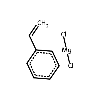 C=Cc1cc[c]cc1.[Cl][Mg][Cl]